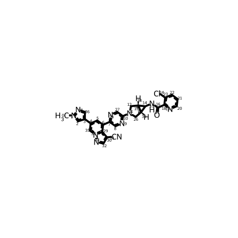 Cn1cc(-c2cc(-c3cnc(N4C[C@@H]5C(NC(=O)c6ncccc6Cl)[C@@H]5C4)cn3)c3c(C#N)cnn3c2)cn1